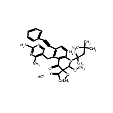 COC1N(C(C)(C)CC(C)(C)C)c2ccc(C#Cc3ccccc3)c(Cc3cnc(N)nc3N)c2C(=O)C1(OC)C(=O)O.Cl